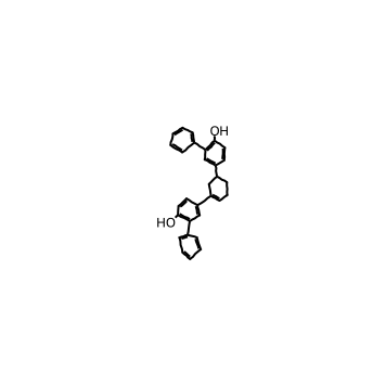 Oc1ccc(C2=CCCC(c3ccc(O)c(-c4ccccc4)c3)C2)cc1-c1ccccc1